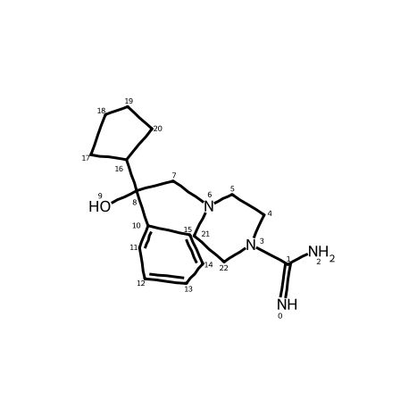 N=C(N)N1CCN(CC(O)(c2ccccc2)C2CCCC2)CC1